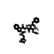 C[C@@H](OC(C)(C)C)[C@H](NC(=O)Cc1ccccc1)C(=O)NCC(=O)N1c2ccccc2C[C@H]1C(=O)NCc1nn[nH]n1